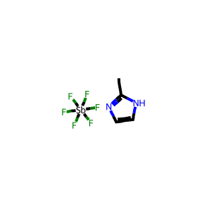 Cc1ncc[nH]1.[F][Sb-]([F])([F])([F])([F])[F]